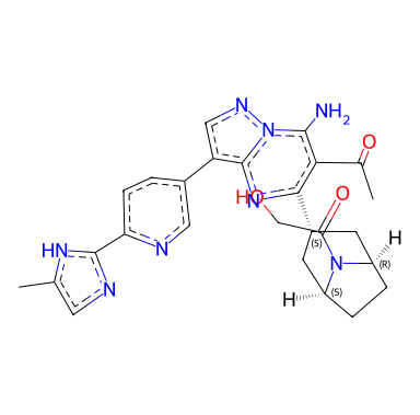 CC(=O)c1c([C@@H]2C[C@H]3CC[C@@H](C2)N3C(=O)CO)nc2c(-c3ccc(-c4ncc(C)[nH]4)nc3)cnn2c1N